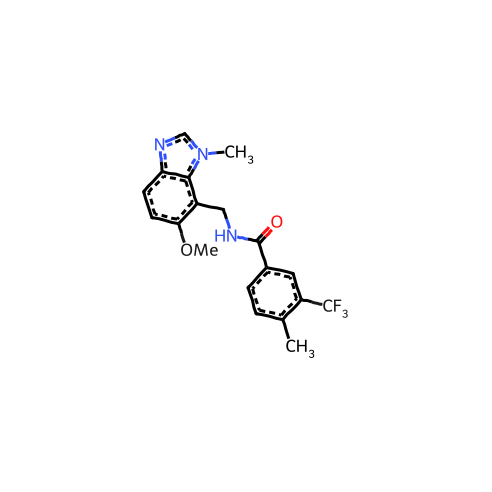 COc1ccc2ncn(C)c2c1CNC(=O)c1ccc(C)c(C(F)(F)F)c1